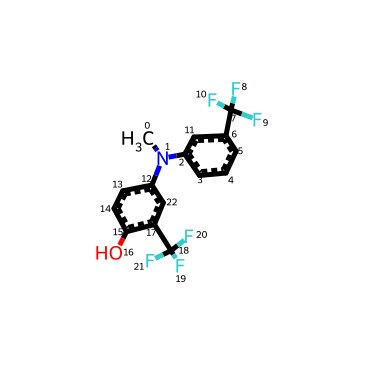 CN(c1cccc(C(F)(F)F)c1)c1ccc(O)c(C(F)(F)F)c1